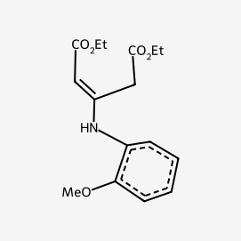 CCOC(=O)C=C(CC(=O)OCC)Nc1ccccc1OC